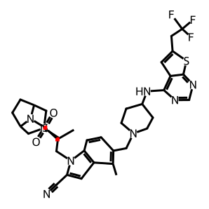 CCS(=O)(=O)N1C2CCC1CN(CCn1c(C#N)cc3c(C)c(CN4CCC(Nc5ncnc6sc(CC(F)(F)F)cc56)CC4)ccc31)C2